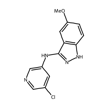 COc1ccc2[nH]nc(Nc3cncc(Cl)c3)c2c1